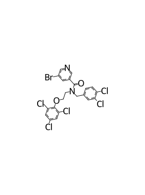 O=C(c1cncc(Br)c1)N(CCOc1c(Cl)cc(Cl)cc1Cl)Cc1ccc(Cl)c(Cl)c1